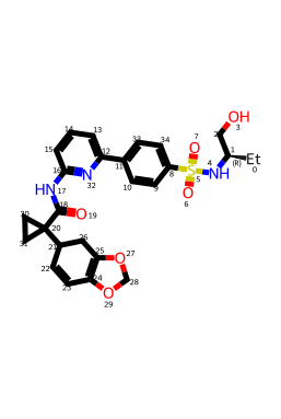 CC[C@H](CO)NS(=O)(=O)c1ccc(-c2cccc(NC(=O)C3(C4C=CC5=C(C4)OCO5)CC3)n2)cc1